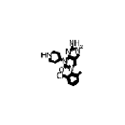 Cc1cccc(Cl)c1N1Cc2cnc(N)nc2N(C2CCNCC2)C1=O